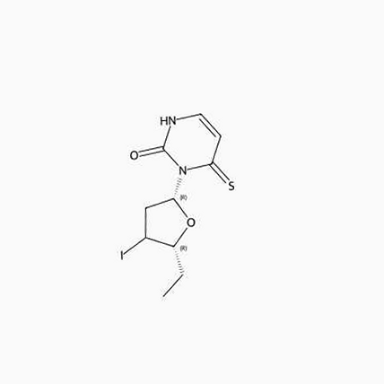 CC[C@H]1O[C@@H](n2c(=S)cc[nH]c2=O)CC1I